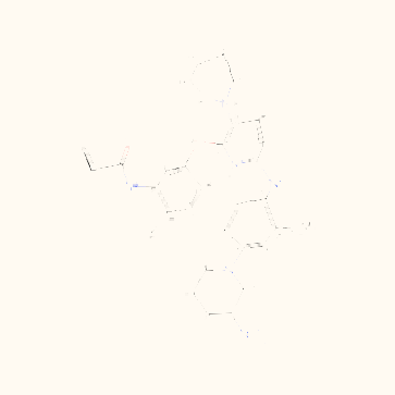 C=CC(=O)Nc1cc(Oc2nc(Nc3ccc(N4CCCC(N)C4)cc3OC)ccc2N2CCCCC2)ccc1C